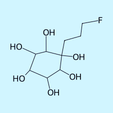 OC1C(O)C(O)C(O)(CCCF)C(O)C1O